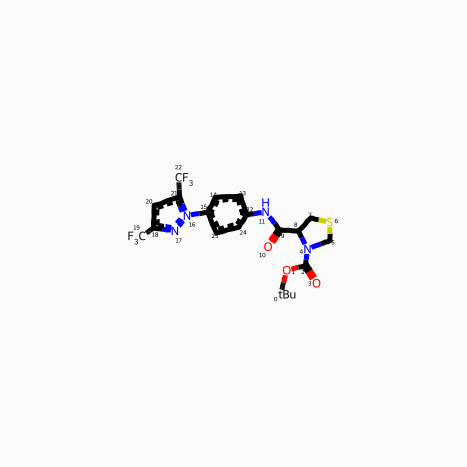 CC(C)(C)OC(=O)N1CSCC1C(=O)Nc1ccc(-n2nc(C(F)(F)F)cc2C(F)(F)F)cc1